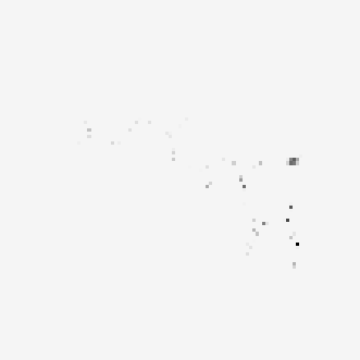 C[C@@H](CC(=O)O)C(=O)Nc1nc(-c2ccccc2F)c(C#N)s1